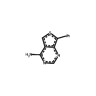 CC(C)c1scc2c(N)ncnc12